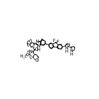 COC(=O)N[C@H](C(=O)N1CC2(C[C@H]1c1nc3ccc(-c4ccc5c(c4)C(F)(F)c4cc(-c6cnc([C@H]7CCCN7)[nH]6)ccc4-5)cc3[nH]1)OCCO2)C1CCOCC1